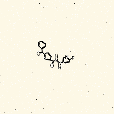 O=C(NNc1ccc(F)nc1)c1ccc(C(=O)c2ccccc2)cc1